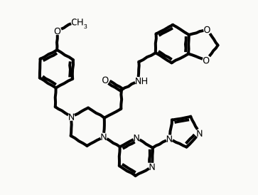 COc1ccc(CN2CCN(c3ccnc(-n4ccnc4)n3)C(CC(=O)NCc3ccc4c(c3)OCO4)C2)cc1